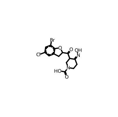 O=C(C1Cc2cc(Cl)cc(Br)c2O1)C1CN(C(=O)O)CC/C1=N/O